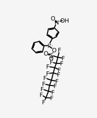 O=[N+](O)c1ccc([I+](OS(=O)(=O)C(F)(F)C(F)(F)C(F)(F)C(F)(F)C(F)(F)C(F)(F)C(F)(F)C(F)(F)F)c2ccccc2)cc1